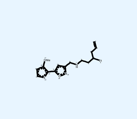 C=CCC(CC)CCNCc1cc(-c2sccc2OC)on1